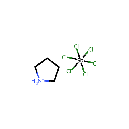 C1CC[NH2+]C1.[Cl][Sb-]([Cl])([Cl])([Cl])([Cl])[Cl]